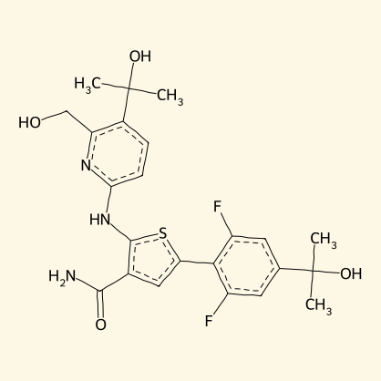 CC(C)(O)c1cc(F)c(-c2cc(C(N)=O)c(Nc3ccc(C(C)(C)O)c(CO)n3)s2)c(F)c1